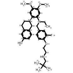 CCN(Cc1ccc(OCCNCC(C)(C)C)c(F)c1)c1cc(OC)c(OC)cc1[C@@H]1CCc2cc(O)ccc2C1